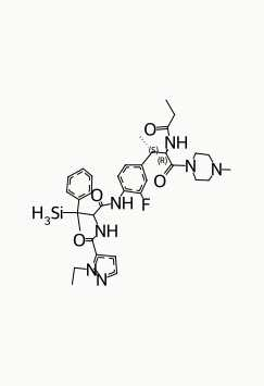 CCC(=O)N[C@@H](C(=O)N1CCN(C)CC1)[C@@H](C)c1ccc(NC(=O)C(NC(=O)c2ccnn2CC)C(C)([SiH3])c2ccccc2)c(F)c1